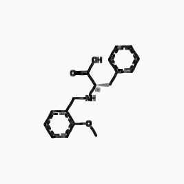 COc1ccccc1CN[C@@H](Cc1ccccc1)C(=O)O